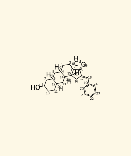 C[C@@]12CC[C@H]3C[C@H]4C[C@H](O)CC[C@@H]4C[C@@H]3[C@H]1C/C(=C\c1ccccc1)C2=O